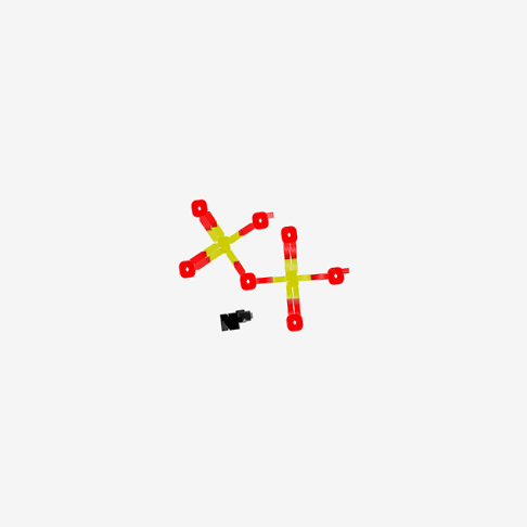 O=S(=O)([O-])OS(=O)(=O)[O-].[Ni+2]